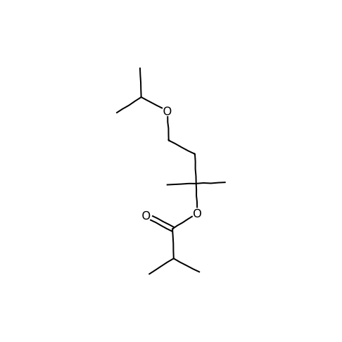 CC(C)OCCC(C)(C)OC(=O)C(C)C